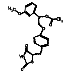 COc1cccc(C(COc2ccc(CC3SC(=O)NC3=O)cc2)OC(C)=O)c1